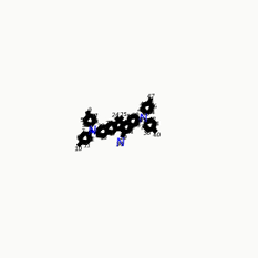 Cc1ccc(N(c2ccc(C)cc2)c2ccc3cc4c(cc3c2)C(C)(C)c2c-4c(C#N)cc3cc(N(c4ccc(C)cc4)c4ccc(C)cc4)ccc23)cc1